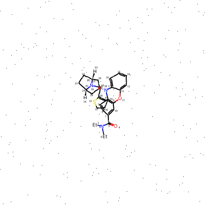 CCN(CC)C(=O)c1ccc2c(c1)Oc1ccccc1N2[C@H]1C[C@H]2CC[C@@H](C1)N2CC1=CCCS1